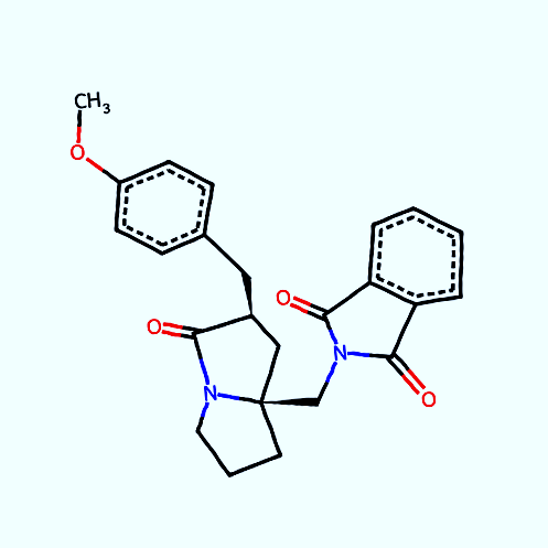 COc1ccc(C[C@H]2C[C@]3(CN4C(=O)c5ccccc5C4=O)CCCN3C2=O)cc1